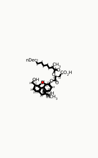 CCCCCCCCCCCCCCCC(C)C(=O)O[C@@H](CC(=O)O)C(=O)OC1=CC[C@@]2(O)[C@H]3Cc4ccc(CO)c5c4[C@@]2(CCN3C)[C@H]1O5